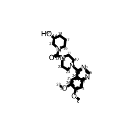 COc1cc2ncnc(N3CCN(C(=O)N4CCCC(O)C4)CC3)c2cc1OC